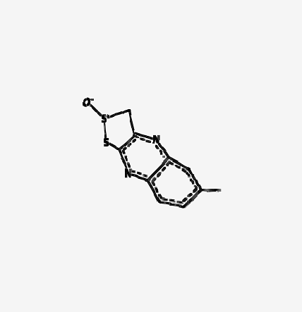 Cc1ccc2nc3c(nc2c1)C[S+]([O-])S3